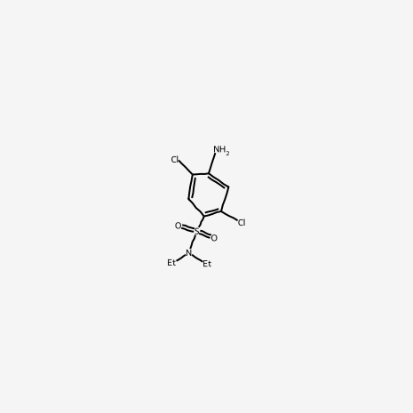 CCN(CC)S(=O)(=O)c1cc(Cl)c(N)cc1Cl